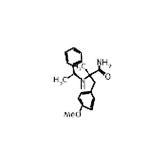 COc1ccc(C[C@](C)(N[C@@H](C)c2ccccc2)C(N)=O)cc1